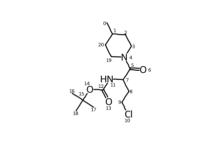 CC1CCN(C(=O)C(CCCl)NC(=O)OC(C)(C)C)CC1